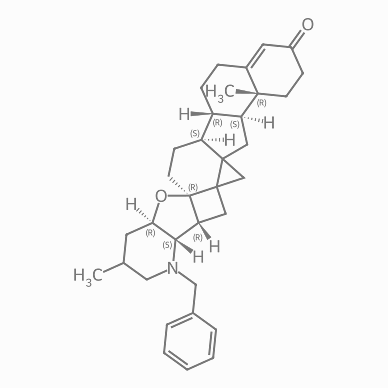 CC1C[C@H]2O[C@@]34CC[C@H]5[C@@H]6CCC7=CC(=O)CC[C@]7(C)[C@H]6CC56CC63C[C@@H]4[C@@H]2N(Cc2ccccc2)C1